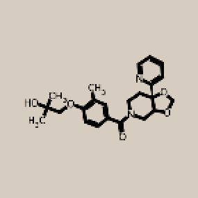 Cc1cc(C(=O)N2CC[C@]3(c4ccccn4)OCOC3C2)ccc1OCC(C)(C)O